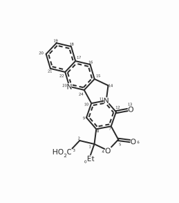 CCC1(CC(=O)O)OC(=O)c2c1cc1n(c2=O)Cc2cc3ccccc3nc2-1